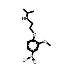 COc1cc([N+](=O)[O-])ccc1OCCNC(C)C